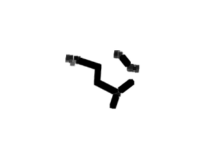 CCO.CN(C)CCN